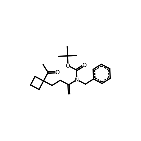 C=C(CCC1(C(C)=O)CCC1)N(Cc1ccccc1)C(=O)OC(C)(C)C